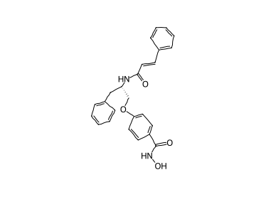 O=C(/C=C/c1ccccc1)N[C@H](COc1ccc(C(=O)NO)cc1)Cc1ccccc1